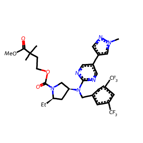 CC[C@@H]1C[C@H](N(Cc2cc(C(F)(F)F)cc(C(F)(F)F)c2)c2ncc(-c3cnn(C)c3)cn2)CN1C(=O)OCCC(C)(C)C(=O)OC